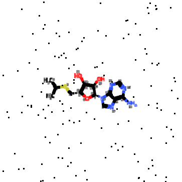 CC(C)SC[C@H]1O[C@@H](n2cnc3c(N)ncnc32)[C@H](O)[C@@H]1O